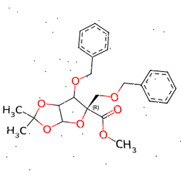 COC(=O)[C@]1(COCc2ccccc2)OC2OC(C)(C)OC2C1OCc1ccccc1